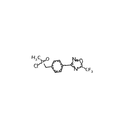 CP(=O)(Cl)Cc1ccc(-c2noc(C(F)(F)F)n2)cc1